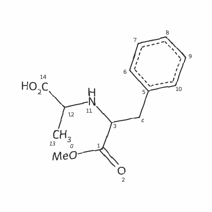 COC(=O)C(Cc1ccccc1)NC(C)C(=O)O